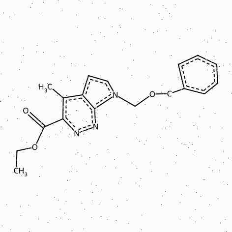 CCOC(=O)c1nnc2c(ccn2COCc2ccccc2)c1C